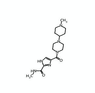 CNC(=O)c1nc(C(=O)N2CCN(C3CCN(C)CC3)CC2)c[nH]1